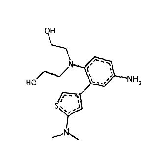 CN(C)c1cc(-c2cc(N)ccc2N(CCO)CCO)cs1